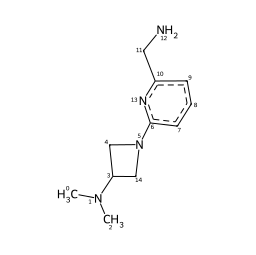 CN(C)C1CN(c2cccc(CN)n2)C1